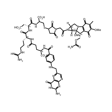 COC1=C(C)C(=O)C2=C(C1=O)[C@H](COC(N)=O)[C@]1(OC)[C@H]3[C@@H](CN21)N3C(=O)CN1C(=O)CC(SCC(NC(=O)[C@@H](CC(=O)O)NC(=O)[C@@H](CCCNC(=N)N)NC(=O)CC[C@@H](NC(=O)c2ccc(NCc3cnc4nc(N)[nH]c(=O)c4n3)cc2)C(=O)O)C(=O)O)C1=O